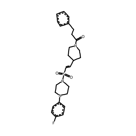 O=C(CCc1ccccc1)N1CCC(C=CS(=O)(=O)N2CCN(c3ccc(F)cc3)CC2)CC1